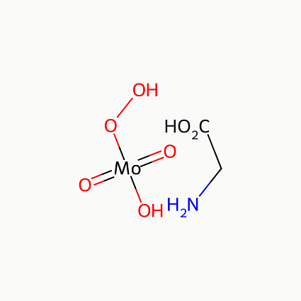 NCC(=O)O.[O]=[Mo](=[O])([OH])[O]O